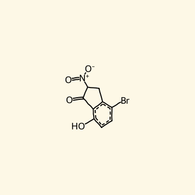 O=C1c2c(O)ccc(Br)c2CC1[N+](=O)[O-]